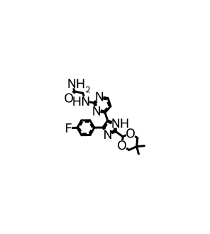 CC1(C)COC(c2nc(-c3ccc(F)cc3)c(-c3ccnc(NCC(N)=O)n3)[nH]2)OC1